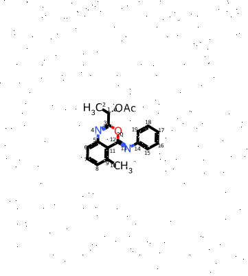 CC(=O)O[C@@H](C)c1nc2cccc(C)c2/c(=N/c2ccccc2)o1